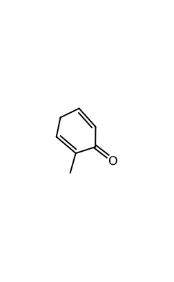 CC1=CCC=CC1=O